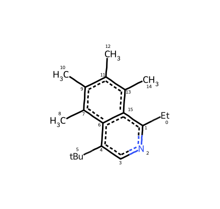 CCc1ncc(C(C)(C)C)c2c(C)c(C)c(C)c(C)c12